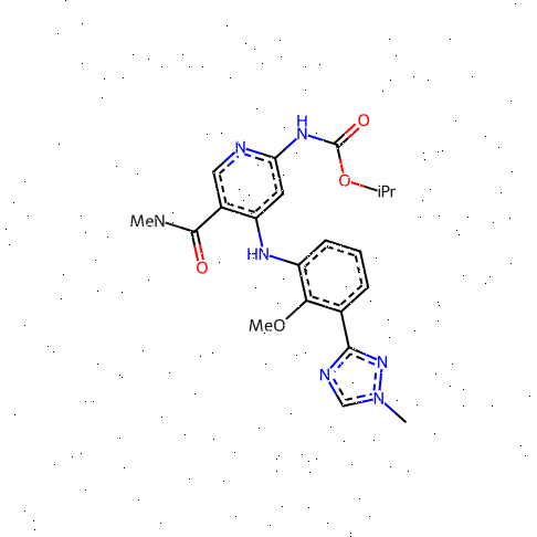 CNC(=O)c1cnc(NC(=O)OC(C)C)cc1Nc1cccc(-c2ncn(C)n2)c1OC